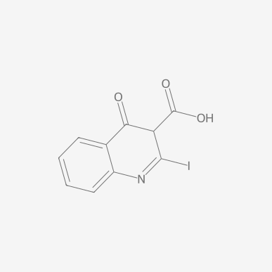 O=C(O)C1C(=O)c2ccccc2N=C1I